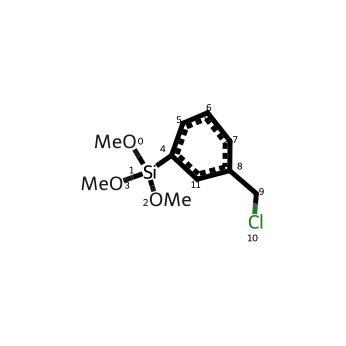 CO[Si](OC)(OC)c1cccc(CCl)c1